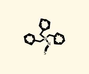 S=C=N[Si](Cc1ccccc1)(Cc1ccccc1)Cc1ccccc1